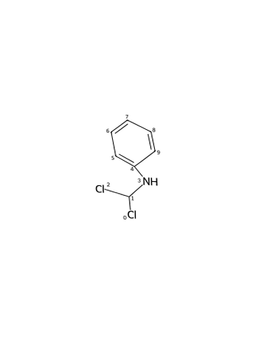 ClC(Cl)Nc1ccccc1